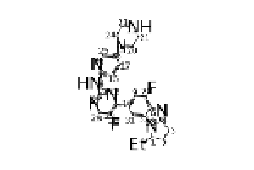 CCC1CCc2nc3c(F)cc(-c4nc(Nc5ccc(N6CCNCC6)cn5)ncc4F)cc3n21